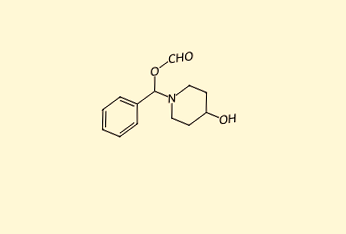 O=COC(c1ccccc1)N1CCC(O)CC1